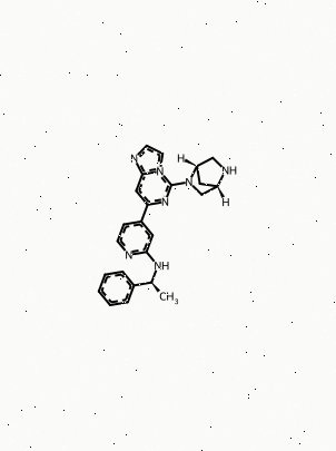 C[C@H](Nc1cc(-c2cc3nccn3c(N3C[C@@H]4C[C@H]3CN4)n2)ccn1)c1ccccc1